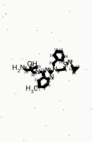 Cc1ccc2nc(N3CCS(=NC4CC4)c4ccccc4C3)nc(N3CC(O)(CN)C3)c2c1